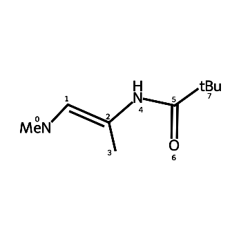 CN/C=C(\C)NC(=O)C(C)(C)C